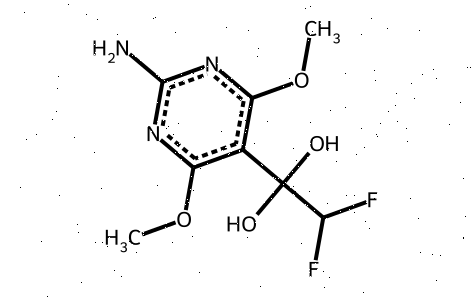 COc1nc(N)nc(OC)c1C(O)(O)C(F)F